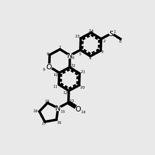 CSc1ccc(N2CCOc3cc(C(=O)N4CCCC4)ccc32)cc1